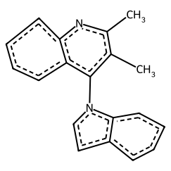 Cc1nc2ccccc2c(-n2ccc3ccccc32)c1C